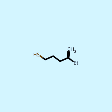 C=C(CC)CCCS